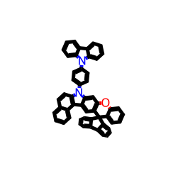 c1ccc2c(c1)Oc1cc3c(cc1C21c2ccccc2-c2ccccc21)c1c2ccccc2ccc1n3-c1ccc(-n2c3ccccc3c3ccccc32)cc1